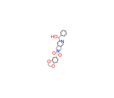 O=S(=O)(c1ccc2c(c1)OCCO2)N1Cc2cnc(C(O)c3ccccc3)cc2C1